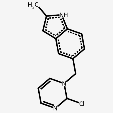 Cc1cc2cc(CN3C=CC=NC3Cl)ccc2[nH]1